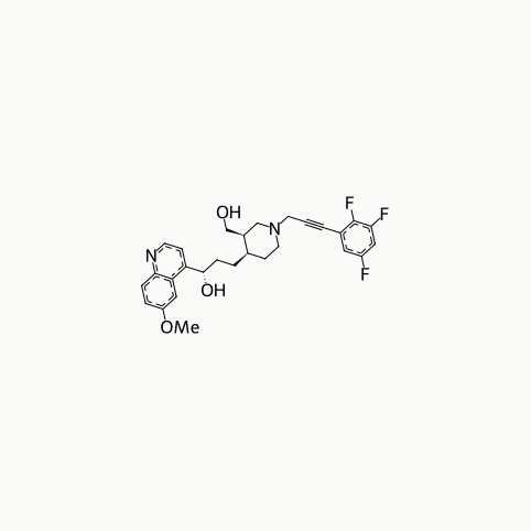 COc1ccc2nccc([C@@H](O)CC[C@@H]3CCN(CC#Cc4cc(F)cc(F)c4F)C[C@@H]3CO)c2c1